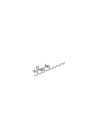 CCCCCCCCC(CCCCCCCC)ON(C)CCNC(=O)OC(C)(C)C